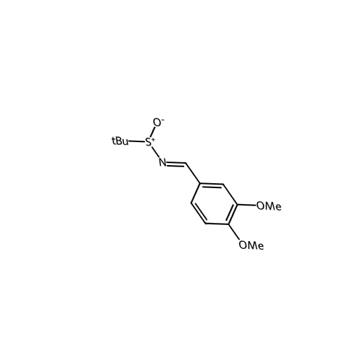 COc1ccc(/C=N/[S+]([O-])C(C)(C)C)cc1OC